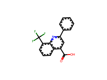 O=C(O)c1cc(-c2ccccc2)nc2c(C(F)(F)F)cccc12